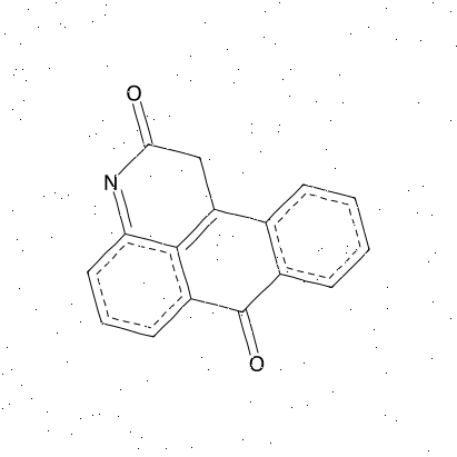 O=C1CC2=c3c(cccc3=N1)C(=O)c1ccccc12